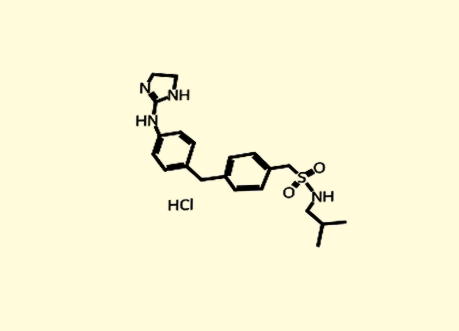 CC(C)CNS(=O)(=O)Cc1ccc(Cc2ccc(NC3=NCCN3)cc2)cc1.Cl